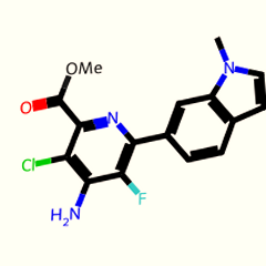 COC(=O)c1nc(-c2ccc3ccn(C)c3c2)c(F)c(N)c1Cl